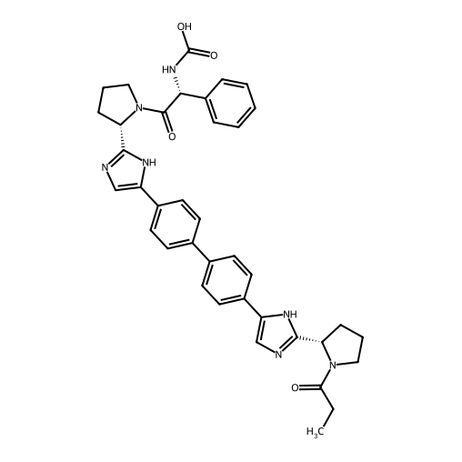 CCC(=O)N1CCC[C@H]1c1ncc(-c2ccc(-c3ccc(-c4cnc([C@@H]5CCCN5C(=O)[C@H](NC(=O)O)c5ccccc5)[nH]4)cc3)cc2)[nH]1